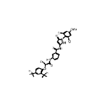 CCC(Oc1ccc(C(C)(C)CC)cc1C(C)(C)CC)C(=O)Nc1cccc(C(=O)Nc2cc(=O)n(-c3c(Cl)cc(OC)cc3Cl)[nH]2)c1